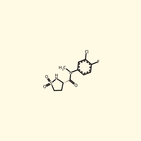 CN(C(=O)[C@@H]1CCS(=O)(=O)N1)c1ccc(F)c(Cl)c1